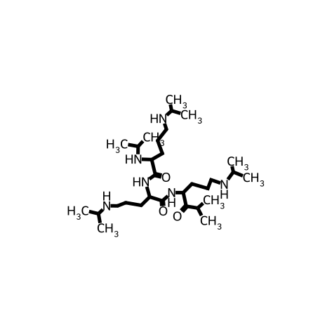 CC(C)NCCCC(NC(=O)C(CCCNC(C)C)NC(C)C)C(=O)NC(CCCNC(C)C)C(=O)C(C)C